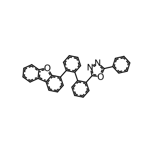 c1ccc(-c2nnc(-c3ccccc3-c3ccccc3-c3cccc4c3oc3ccccc34)o2)cc1